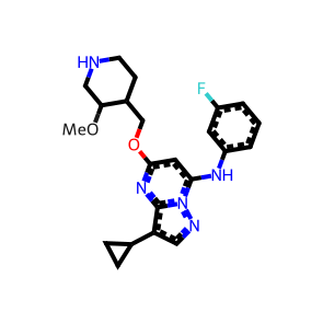 COC1CNCCC1COc1cc(Nc2cccc(F)c2)n2ncc(C3CC3)c2n1